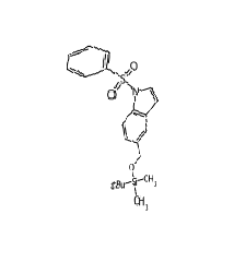 CC(C)(C)[Si](C)(C)OCc1ccc2c(ccn2S(=O)(=O)c2ccccc2)c1